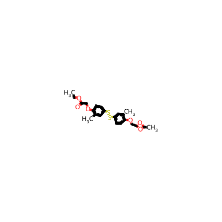 CCOC(=O)COc1ccc(SSc2ccc(OCC3OC(C)O3)c(C)c2)cc1C